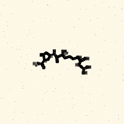 N=C(NCCC[C@H](N)C(=O)N[C@H]1CN[C@H](C(N)=O)C1)NN(O)O